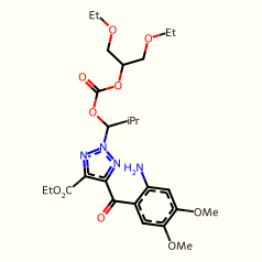 CCOCC(COCC)OC(=O)OC(C(C)C)n1nc(C(=O)OCC)c(C(=O)c2cc(OC)c(OC)cc2N)n1